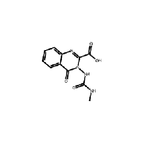 CNC(=O)Nn1c(C(=O)O)nc2ccccc2c1=O